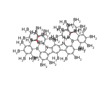 Bc1c(B)c(B)c(-c2c(B)c(B)c(B)c(B)c2B2c3c(B)c(B)c(B)c(B)c3-n3c4c2c(B)c(B)c(B)c4c2c(B)c4c5c(B)c(B)c(B)c6c5n(c4c(B)c23)-c2c(B)c(B)c(B)c(B)c2B6c2c(B)c(B)c(B)c(B)c2-c2c(B)c(B)c(B)c(B)c2B)c(B)c1B